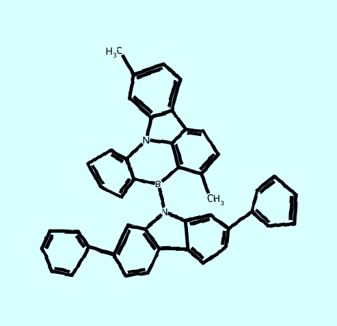 Cc1ccc2c3ccc(C)c4c3n(c2c1)-c1ccccc1B4n1c2cc(-c3ccccc3)ccc2c2ccc(-c3ccccc3)cc21